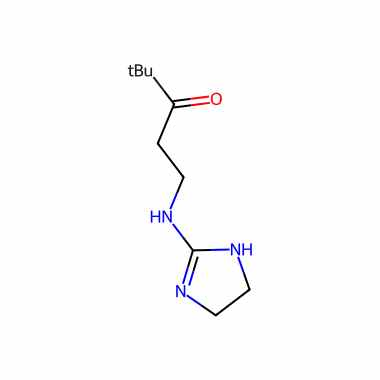 CC(C)(C)C(=O)CCNC1=NCCN1